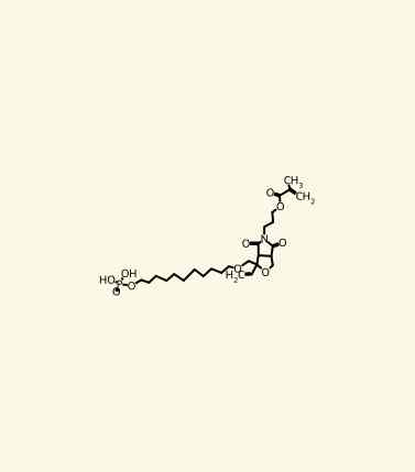 C=CC1(COCCCCCCCCCCCOP(=O)(O)O)OCC2C(=O)N(CCCOC(=O)C(=C)C)C(=O)C21